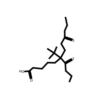 CCCC(=S)CCC(CCCCC(=O)O)(C(=S)CCC)C(C)(C)C